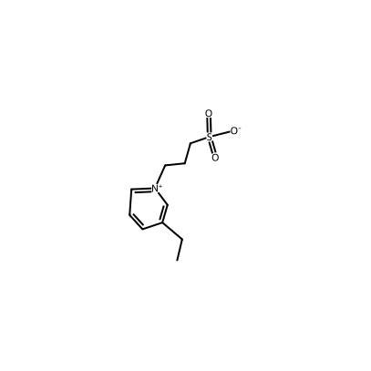 CCc1ccc[n+](CCCS(=O)(=O)[O-])c1